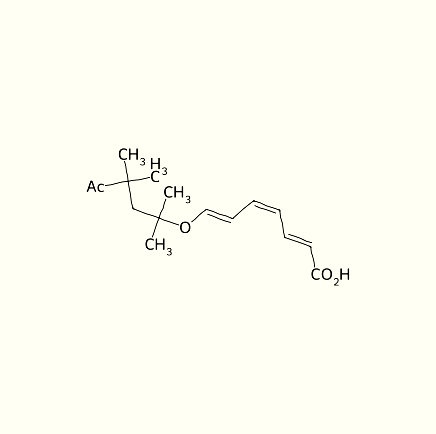 CC(=O)C(C)(C)CC(C)(C)O/C=C/C=C\C=C\C(=O)O